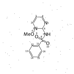 CON1C=CC=NC1NS(=O)(=O)c1ccccc1